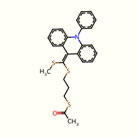 CSC(SCCCSC(C)=O)=C1c2ccccc2N(c2ccccc2)c2ccccc21